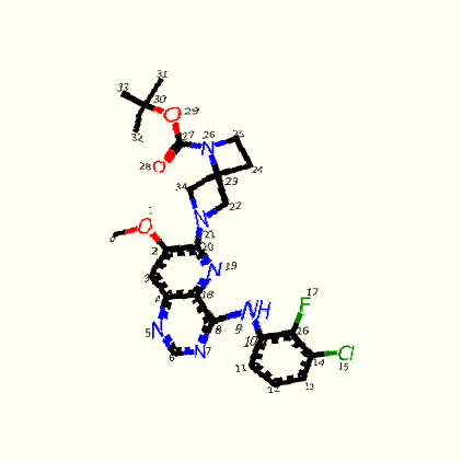 COc1cc2ncnc(Nc3cccc(Cl)c3F)c2nc1N1CC2(CCN2C(=O)OC(C)(C)C)C1